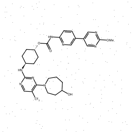 COc1ncc(-c2ccc(NC(=O)O[C@H]3CC[C@H](Nc4ncc(C(F)(F)F)c(N5CCCC(O)CC5)n4)CC3)nc2)cn1